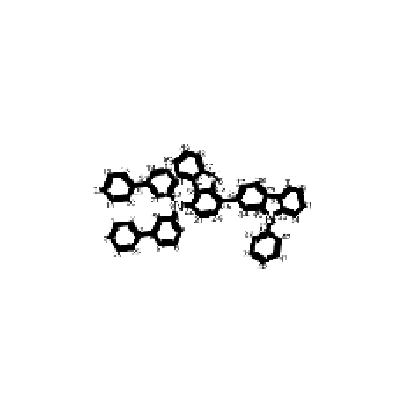 c1ccc(-c2cccc(N(c3cccc(-c4ccccc4)c3)c3ccc(-c4ccc5c6ccccc6n(-c6ccccc6)c5c4)c4sc5ccccc5c34)c2)cc1